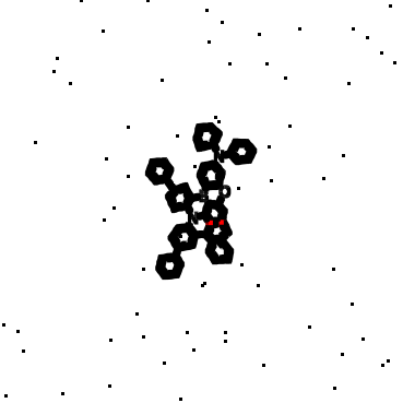 c1ccc(-c2ccc3c(c2)B2c4ccc(N(c5ccccc5)c5ccccc5)cc4Oc4cccc(c42)N3c2ccc(-c3ccccc3)cc2-c2cccc3ccccc23)cc1